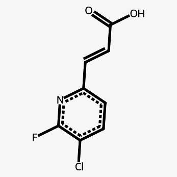 O=C(O)C=Cc1ccc(Cl)c(F)n1